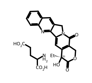 CC[C@@]1(O)C(=O)OCc2c1cc1n(c2=O)Cc2cc3ccccc3nc2-1.NC(CCC(=O)O)C(=O)O